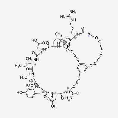 CC[C@H](C)[C@@H]1NC(=O)[C@H](CC(=O)O)NC(=O)[C@H](CC(C)C)NC(=O)[C@@H]2CSCc3cc(cc(c3)OCCCCCCO/N=C/C(=O)N[C@@H](CCCNC(=N)N)C(=O)N2)CSC[C@@H](C(N)=O)NC(=O)[C@H](CC(=O)O)NC(=O)[C@H](Cc2ccc(O)cc2)NC(=O)[C@H]([C@@H](C)O)NC1=O